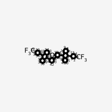 FC(F)(F)c1ccc(-c2c3ccccc3c(-c3ccc4oc5c(-c6c7ccccc7c(-c7ccc(C(F)(F)F)cc7)c7ccccc67)cccc5c4c3)c3ccccc23)cc1